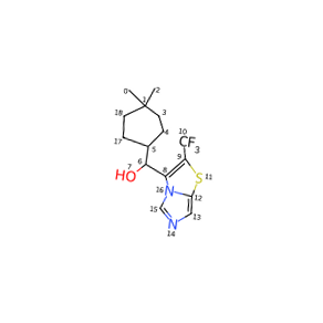 CC1(C)CCC(C(O)c2c(C(F)(F)F)sc3cncn23)CC1